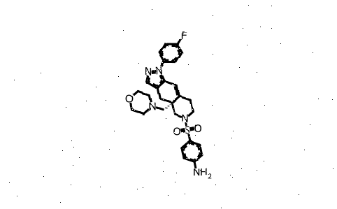 Nc1ccc(S(=O)(=O)N2CCC3=Cc4c(cnn4-c4ccc(F)cc4)C[C@]3(CN3CCOCC3)C2)cc1